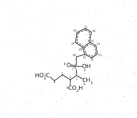 CC(C(CCC(=O)O)C(=O)O)P(=O)(O)Cc1cccc2ccccc12